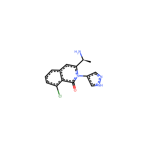 C[C@H](N)c1cc2cccc(Cl)c2c(=O)n1-c1cn[nH]c1